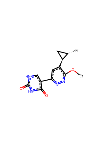 CCOc1nnc(-c2c[nH]c(=O)[nH]c2=O)cc1[C@H]1C[C@@H]1C(C)C